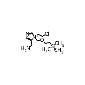 C[Si](C)(C)CCOC[N+]1(CCCl)C=NC=C1CN